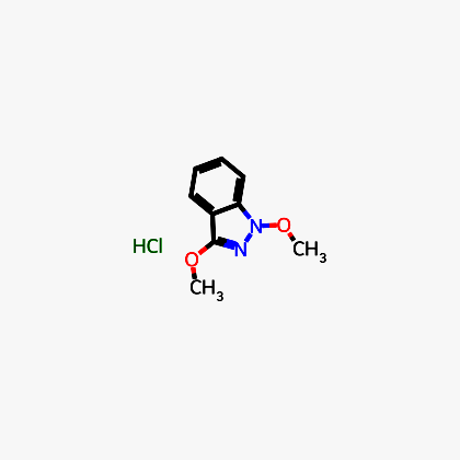 COc1nn(OC)c2ccccc12.Cl